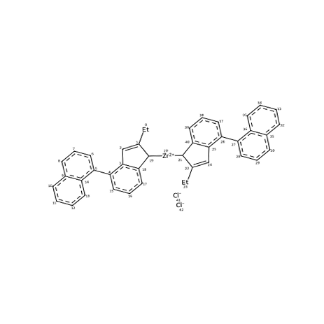 CCC1=Cc2c(-c3cccc4ccccc34)cccc2[CH]1[Zr+2][CH]1C(CC)=Cc2c(-c3cccc4ccccc34)cccc21.[Cl-].[Cl-]